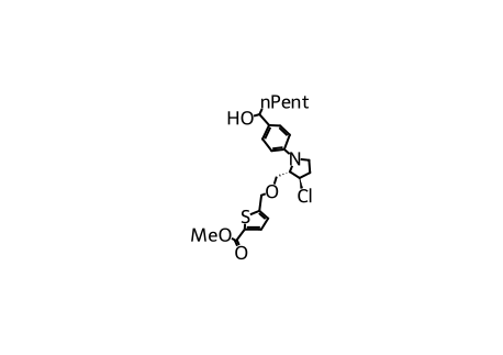 CCCCCC(O)c1ccc(N2CC[C@@H](Cl)[C@@H]2COCc2ccc(C(=O)OC)s2)cc1